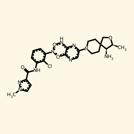 C[C@@H]1OCC2(CCN(c3cnc4on(-c5cccc(NC(=O)c6ccn(C)n6)c5Cl)o[nH]c4n3)CC2)[C@@H]1N